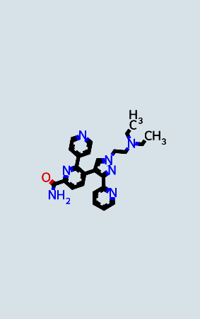 CCN(CC)CCn1cc(-c2ccc(C(N)=O)nc2-c2ccncc2)c(-c2ccccn2)n1